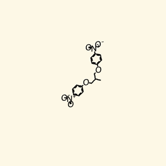 CC(COc1ccc([N+](=O)[O-])cc1)COc1ccc([N+](=O)[O-])cc1